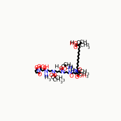 CC(C)(C)OC(=O)N(CCCCN(CCCNC(=O)CC(C(=O)O)N1C(=O)CCC1=O)C(=O)OC(C)(C)C)CCCNC(=O)CCC(NC(=O)CCCCCCCCCCCCC(C(=O)O)C(C)(C)C)(C(=O)O)C(C)(C)C